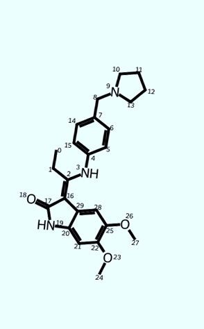 CCC(Nc1ccc(CN2CCCC2)cc1)=C1C(=O)Nc2cc(OC)c(OC)cc21